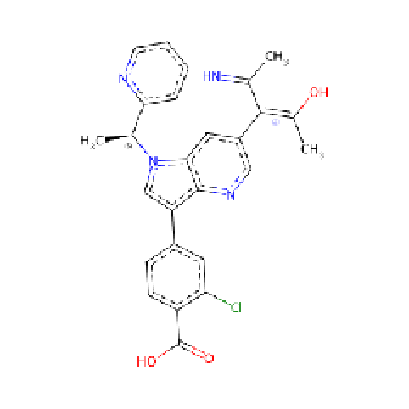 CC(=N)/C(=C(/C)O)c1cnc2c(-c3ccc(C(=O)O)c(Cl)c3)cn([C@@H](C)c3ccccn3)c2c1